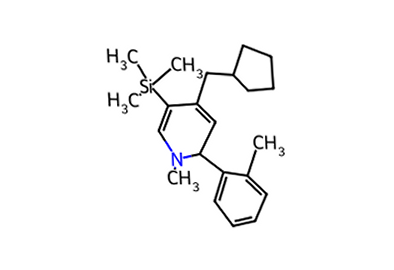 Cc1ccccc1C1C=C(CC2CCCC2)C([Si](C)(C)C)=CN1C